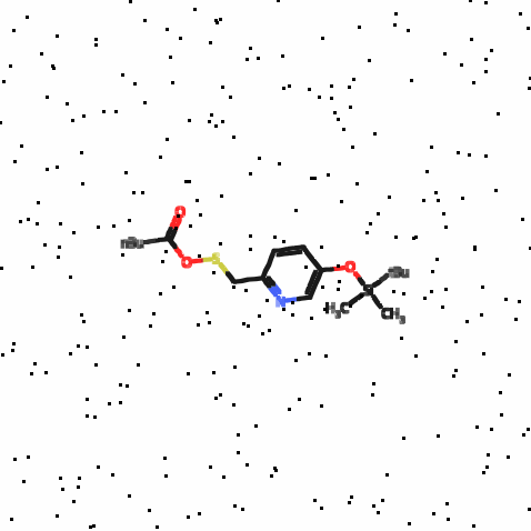 CCCCC(=O)OSCc1ccc(O[Si](C)(C)C(C)(C)C)cn1